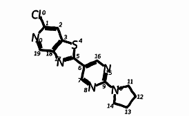 Clc1cc2sc(-c3cnc(N4CCCC4)nc3)nc2cn1